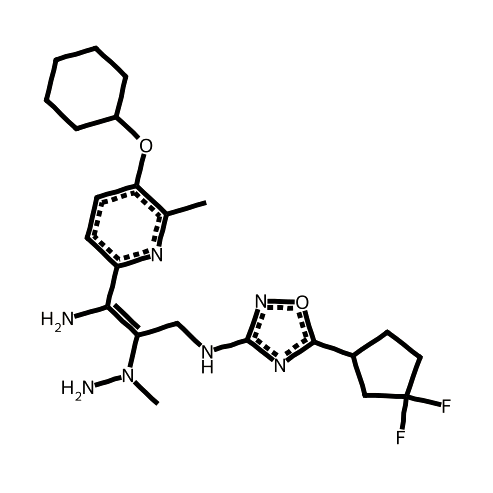 Cc1nc(/C(N)=C(\CNc2noc(C3CCC(F)(F)C3)n2)N(C)N)ccc1OC1CCCCC1